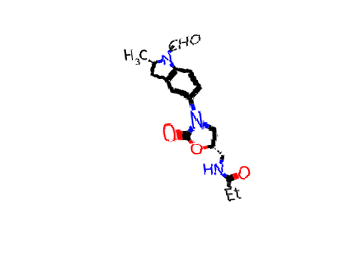 CCC(=O)NC[C@H]1CN(c2ccc3c(c2)C[C@@H](C)N3C=O)C(=O)O1